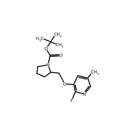 Cc1cnc(F)c(OCC2CCCN2C(=O)OC(C)(C)C)c1